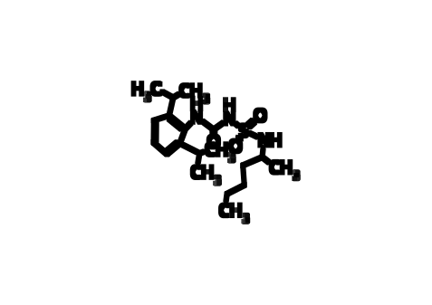 CCCCC(C)NS(=O)(=O)NC(=O)Nc1c(C(C)C)cccc1C(C)C